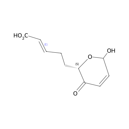 O=C(O)/C=C/CC[C@@H]1OC(O)C=CC1=O